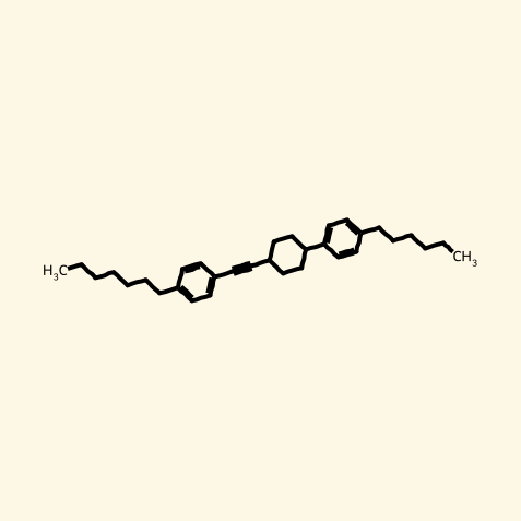 CCCCCCCc1ccc(C#CC2CCC(c3ccc(CCCCCC)cc3)CC2)cc1